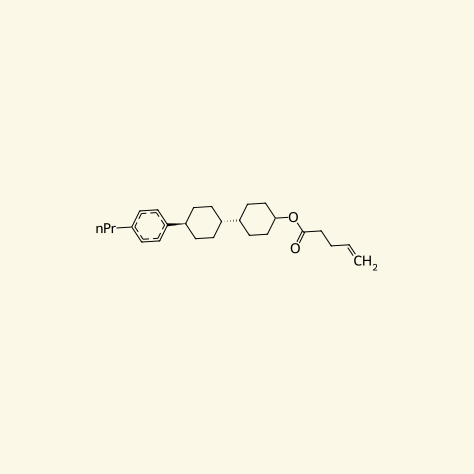 C=CCCC(=O)OC1CCC([C@H]2CC[C@H](c3ccc(CCC)cc3)CC2)CC1